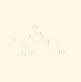 Cc1cn[nH]c1-c1cc(N2CC[C@@H](N)C2)nc(N)n1